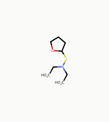 O=C(O)CN(CC(=O)O)SC1CCCO1